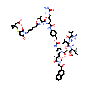 CC[C@H](C)C([C@@H](CC(=O)N1C[C@@H](NC(=O)OCc2ccc(NC(=O)C(CCCNC(N)=O)NC(=O)[C@@H](NC(=O)CCCCCN3C(=O)CC(SCC4(CC(=O)O)CC4)C3=O)C(C)C)cc2)C[C@H]1[C@H](OC)[C@@H](C)C(=O)NCC(=O)c1ccc2ccccc2c1)OC)N(C)C(=O)[C@@H](NC(=O)[C@H](C(C)C)N(C)C)C(C)C